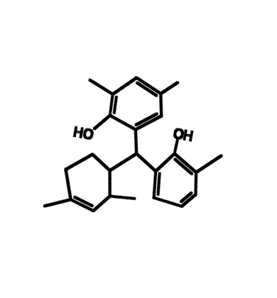 CC1=CC(C)C(C(c2cccc(C)c2O)c2cc(C)cc(C)c2O)CC1